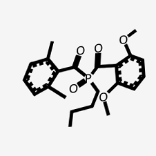 CCCCP(=O)(C(=O)c1c(C)cccc1C)C(=O)c1c(OC)cccc1OC